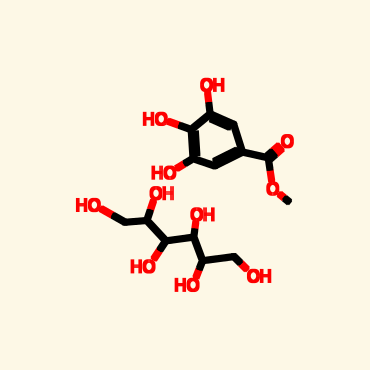 COC(=O)c1cc(O)c(O)c(O)c1.OCC(O)C(O)C(O)C(O)CO